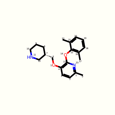 Cc1ccc(OC[C@H]2CCCNC2)c(Oc2c(C)cccc2C)n1